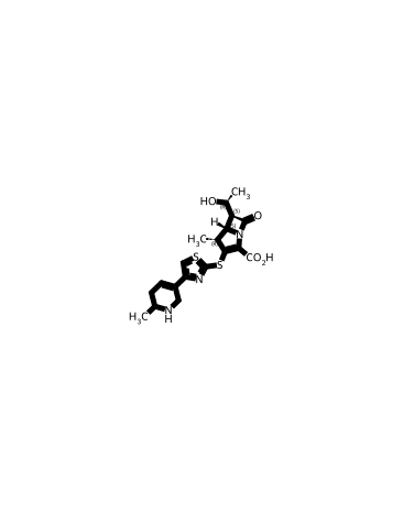 CC1CC=C(c2csc(SC3=C(C(=O)O)N4C(=O)[C@H]([C@@H](C)O)[C@H]4[C@H]3C)n2)CN1